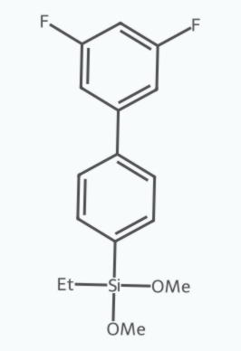 CC[Si](OC)(OC)c1ccc(-c2cc(F)cc(F)c2)cc1